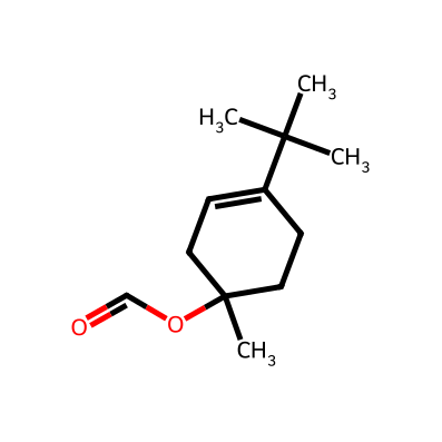 CC1(OC=O)CC=C(C(C)(C)C)CC1